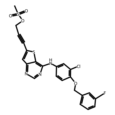 CS(=O)(=O)OCC#Cc1cc2ncnc(Nc3ccc(OCc4cccc(F)c4)c(Cl)c3)c2s1